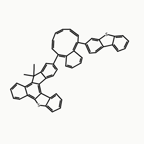 CC1(C)c2cc(-c3ccccccc(-c4ccc5c(c4)sc4ccccc45)c4ccccc34)ccc2-c2c1c1ccccc1c1sc3ccccc3c21